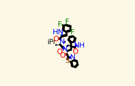 CC(C)C[C@@H](C(=O)N1C[C@]2(C[C@@H]1C(=O)c1nc3ccccc3s1)C(=O)Nc1ccccc12)N(C)C(=O)c1cc2c(F)cc(F)c(F)c2[nH]1